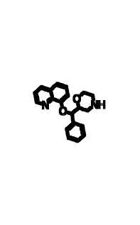 c1ccc(C(Oc2cccc3cccnc23)C2CNCCO2)cc1